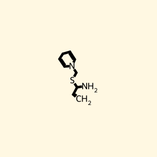 C=CC(N)SCN1C=CCC=C1